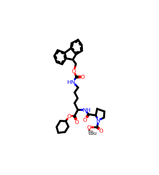 CC(C)(C)OC(=O)N1CCCC1C(=O)NC(CCCCNC(=O)OCC1c2ccccc2-c2ccccc21)C(=O)OC1CCCCC1